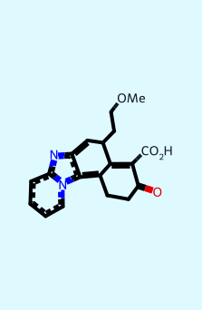 COCCC1C=c2nc3ccccn3c2=C2CCC(=O)C(C(=O)O)=C21